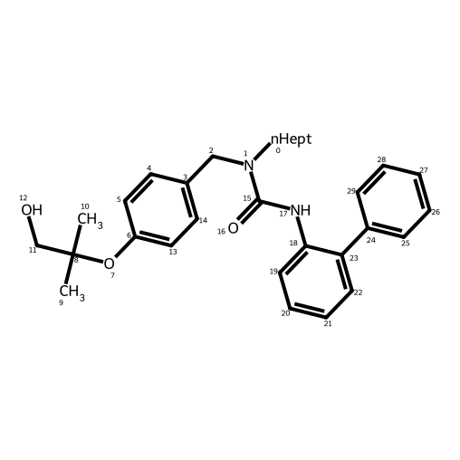 CCCCCCCN(Cc1ccc(OC(C)(C)CO)cc1)C(=O)Nc1ccccc1-c1ccccc1